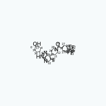 C[C@]1(O)CC[C@H](c2nc3c(C4CCN(C(=O)c5ccc(S(F)(F)(F)(F)F)cc5)CC4)c(F)cnc3[nH]2)CC1